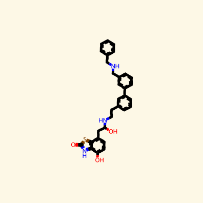 O=c1[nH]c2c(O)ccc(CC(O)NCCc3cccc(-c4cccc(CNCc5ccccc5)c4)c3)c2s1